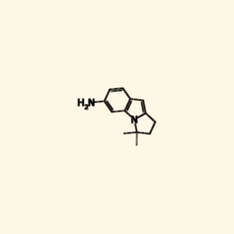 CC1(C)CCc2cc3ccc(N)cc3n21